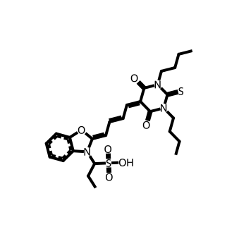 CCCCN1C(=O)C(=C/C=C/C=C2\Oc3ccccc3N2C(CC)S(=O)(=O)O)C(=O)N(CCCC)C1=S